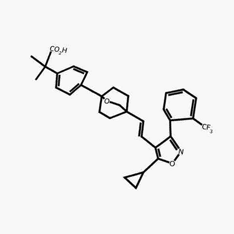 CC(C)(C(=O)O)c1ccc(C23CCC(C=Cc4c(-c5ccccc5C(F)(F)F)noc4C4CC4)(CC2)CO3)cc1